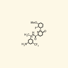 COc1cccc(-n2nc(C(=O)N[C@H](C)c3cc(N)cc(C(F)(F)F)c3)ccc2=O)c1F